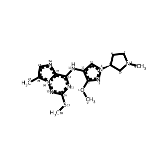 COc1nn([C@H]2CCN(C)C2)cc1Nc1nc(SC)nn2c(C)cnc12